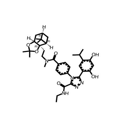 CCNC(=O)c1nnc(-c2cc(C(C)C)c(O)cc2O)n1-c1ccc(C(=O)N(C)CC[C@]23OC(C)(C)O[C@H]2C[C@H]2C[C@@H]3C2(C)C)cc1